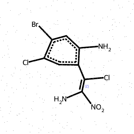 N/C(=C(/Cl)c1cc(Cl)c(Br)cc1N)[N+](=O)[O-]